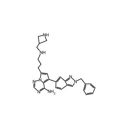 Nc1ncnn2c(CCCNCC3CNC3)cc(-c3ccc4cn(Cc5ccccc5)nc4c3)c12